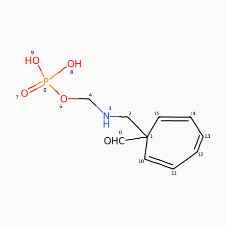 O=CC1(CNCOP(=O)(O)O)C=CC=CC=C1